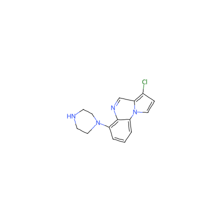 Clc1ccn2c1cnc1c(N3CCNCC3)cccc12